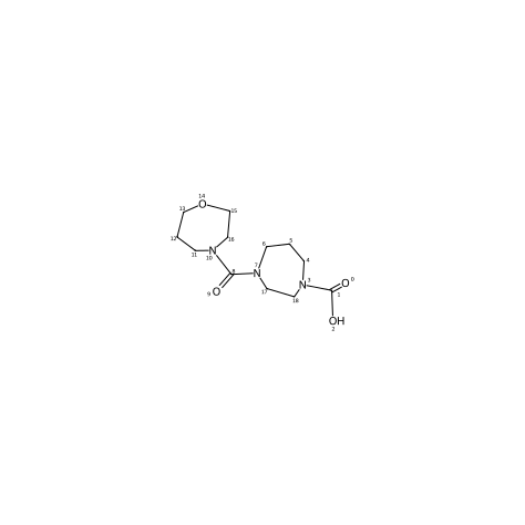 O=C(O)N1CCCN(C(=O)N2CCCOCC2)CC1